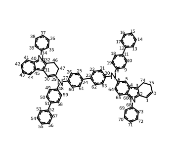 C1=Cc2c(c3cc(N(c4ccc(-c5ccccc5)cc4)c4ccc(-c5ccc(N(C6=Cc7c(n(-c8ccccc8)c8ccccc78)CC6)c6ccc(-c7ccccc7)cc6)cc5)cc4)ccc3n2-c2ccccc2)CC1